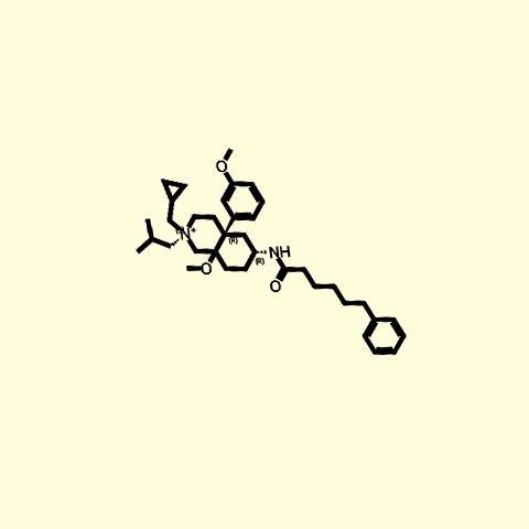 COc1cccc([C@]23CC[N@+](CC(C)C)(CC4CC4)CC2(OC)CC[C@@H](NC(=O)CCCCCc2ccccc2)C3)c1